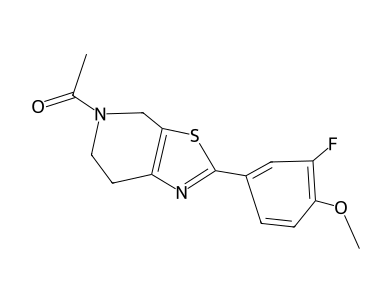 COc1ccc(-c2nc3c(s2)CN(C(C)=O)CC3)cc1F